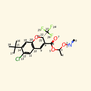 C=NOC(C)OC(=O)C1=Cc2cc(Cl)c(C(C)(C)C)cc2O[C@@H]1C(F)(F)F